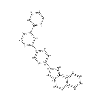 c1ccc(-c2cccc(-c3ccc(-c4cc5ccc6ccccc6n5n4)cc3)c2)cc1